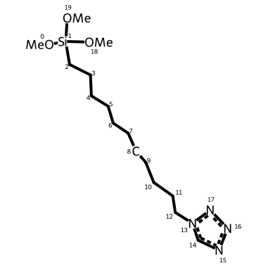 CO[Si](CCCCCCCCCCCn1cnnn1)(OC)OC